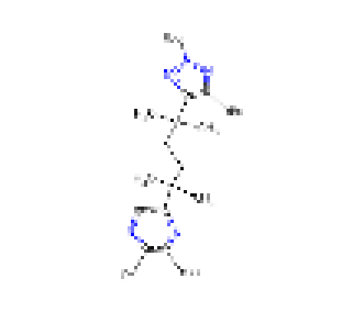 CC(C)c1ncc(C(C)(C)CCC(C)(C)c2nn(C(C)(C)C)nc2C(C)(C)C)nc1C(C)(C)C